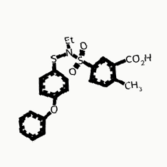 CCN(Sc1ccc(Oc2ccccc2)cc1)S(=O)(=O)c1ccc(C)c(C(=O)O)c1